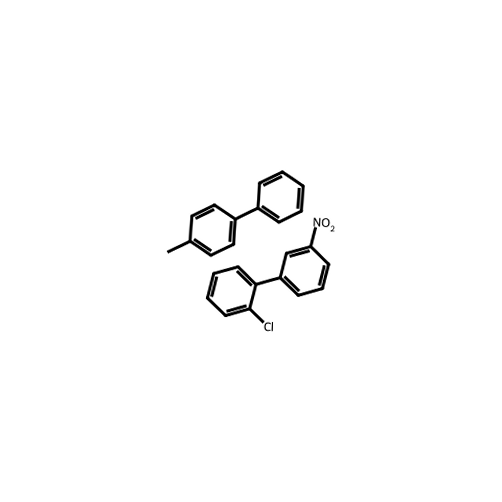 Cc1ccc(-c2ccccc2)cc1.O=[N+]([O-])c1cccc(-c2ccccc2Cl)c1